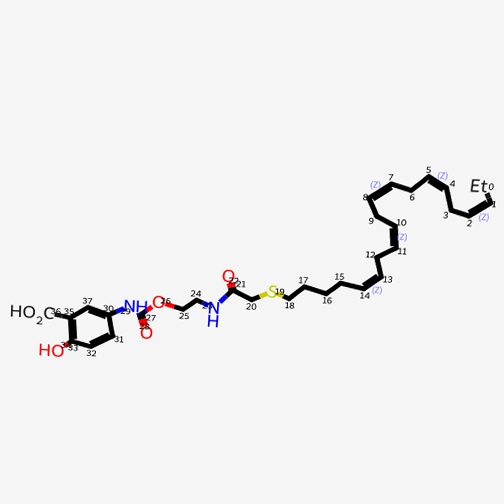 CC/C=C\C/C=C\C/C=C\C/C=C\C/C=C\CCCCSCC(=O)NCCOC(=O)Nc1ccc(O)c(C(=O)O)c1